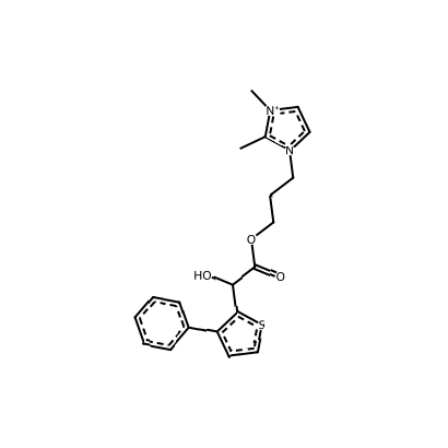 Cc1n(CCCOC(=O)C(O)c2sccc2-c2ccccc2)cc[n+]1C